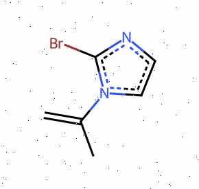 C=C(C)n1ccnc1Br